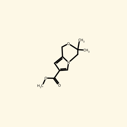 COC(=O)c1cc2n(c1)CC(C)(C)OC2